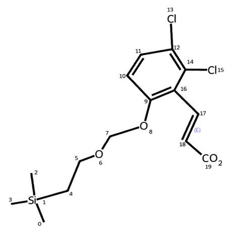 C[Si](C)(C)CCOCOc1ccc(Cl)c(Cl)c1/C=C/C(=O)O